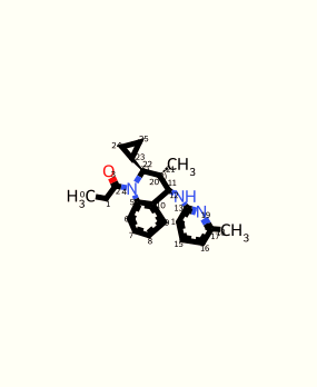 CCC(=O)N1c2ccccc2C(Nc2cccc(C)n2)[C@@H](C)[C@@H]1C1CC1